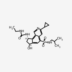 CCNC(=O)N[C@H]1C[C@H](O)c2cc(S(=O)(=O)NCC(C)C)c3cc(C4CC4)ncc3c21